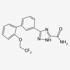 NC(=O)c1nc(-c2cccc(-c3ccccc3OCC(F)(F)F)c2)n[nH]1